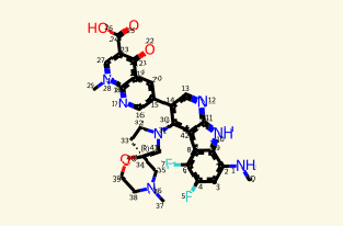 CNc1cc(F)c(F)c2c1[nH]c1ncc(-c3cnc4c(c3)c(=O)c(C(=O)O)cn4C)c(N3CC[C@@]4(CN(C)CCO4)C3)c12